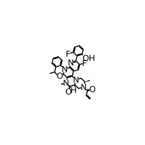 C=CC(=O)N1C[C@@H]2C(=O)N(C)c3c(c4cc(F)c(-c5c(O)cccc5F)nc4n(-c4ccccc4C(C)C)c3=O)N2C[C@H]1C